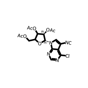 [C-]#[N+]c1cn([C@@H]2OC(COC(C)=O)C(OC(C)=O)[C@H]2OC(C)=O)c2ncnc(Cl)c12